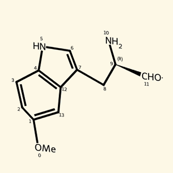 COc1ccc2[nH]cc(C[C@@H](N)[C]=O)c2c1